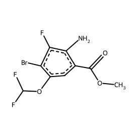 COC(=O)c1cc(OC(F)F)c(Br)c(F)c1N